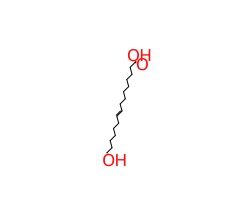 O=C(O)CCCCCCCC=CCCCCCCO